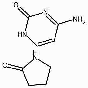 Nc1cc[nH]c(=O)n1.O=C1CCCN1